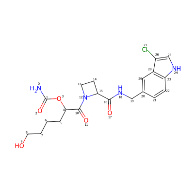 NC(=O)OC(CCCCO)C(=O)N1CCC1C(=O)NCc1ccc2[nH]cc(Cl)c2c1